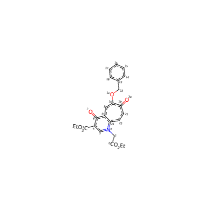 CCOC(=O)Cn1cc(C(=O)OCC)c(=O)c2cc(OCc3ccccc3)c(=O)ccc21